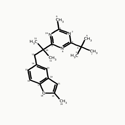 Cc1nc(C(C)(C)C)nc(C(C)(C)Cc2ccc3oc(C)cc3c2)n1